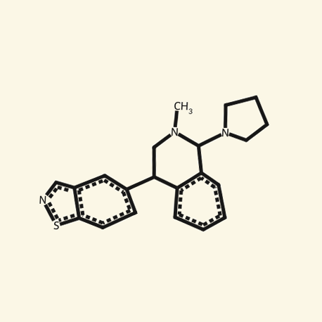 CN1CC(c2ccc3sncc3c2)c2ccccc2C1N1CCCC1